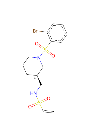 C=CS(=O)(=O)NC[C@H]1CCCN(S(=O)(=O)c2ccccc2Br)C1